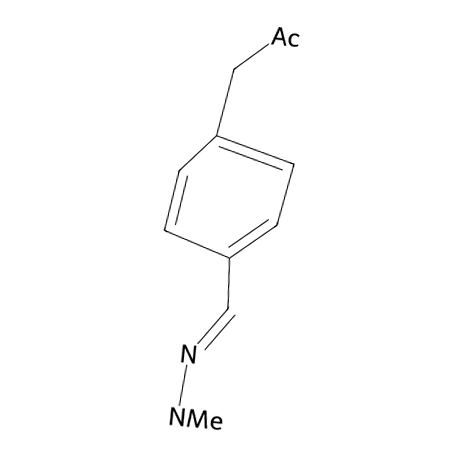 CN/N=C/c1ccc(CC(C)=O)cc1